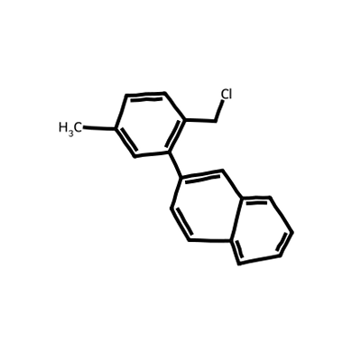 Cc1ccc(CCl)c(-c2ccc3ccccc3c2)c1